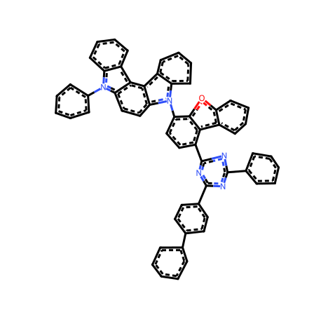 c1ccc(-c2ccc(-c3nc(-c4ccccc4)nc(-c4ccc(-n5c6ccccc6c6c7c8ccccc8n(-c8ccccc8)c7ccc65)c5oc6ccccc6c45)n3)cc2)cc1